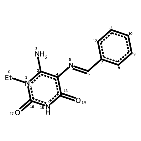 CCn1c(N)c(/N=C/c2ccccc2)c(=O)[nH]c1=O